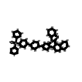 O=P(c1ccccc1)(c1ccccc1)c1ccc(-c2ccc(-c3ccc4c5ccc6ccccc6c5c5nc6ccccc6n5c4c3)cc2)cc1